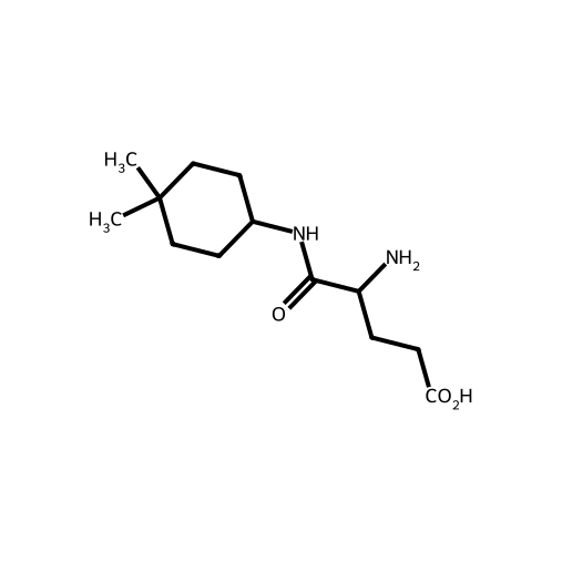 CC1(C)CCC(NC(=O)C(N)CCC(=O)O)CC1